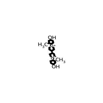 Cc1cc(O)ccc1-[n+]1ccc(-c2cc[n+](-c3ccc(O)cc3C)cc2)cc1